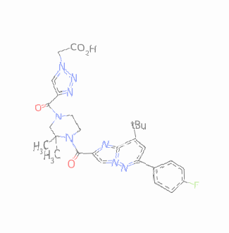 CC(C)(C)c1cc(-c2ccc(F)cc2)nn2cc(C(=O)N3CCN(C(=O)c4cn(CC(=O)O)nn4)CC3(C)C)nc12